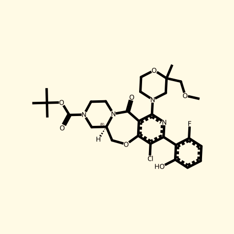 COCC1(C)CN(c2nc(-c3c(O)cccc3F)c(Cl)c3c2C(=O)N2CCN(C(=O)OC(C)(C)C)C[C@@H]2CO3)CCO1